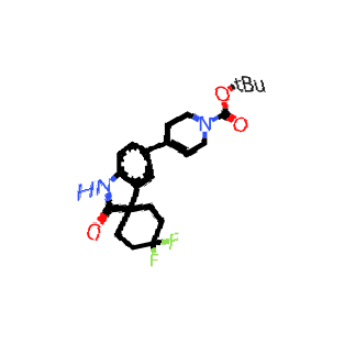 CC(C)(C)OC(=O)N1CC=C(c2ccc3c(c2)C2(CCC(F)(F)CC2)C(=O)N3)CC1